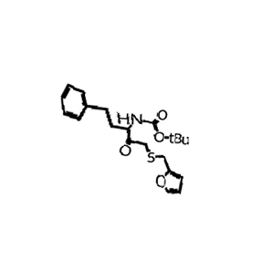 CC(C)(C)OC(=O)NC(CCc1ccccc1)C(=O)CSCc1ccco1